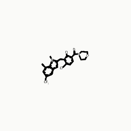 Cc1cc(C(F)(F)F)cc2cc(Cc3c(Cl)ccc(C(=O)N4CCOCC4)c3Cl)n(C)c12